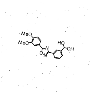 COc1ccc(-c2nc(-c3cccc(C(O)O)c3)no2)cc1OC